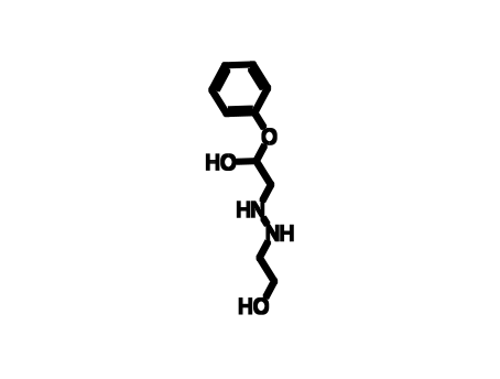 OCCNNCC(O)Oc1ccccc1